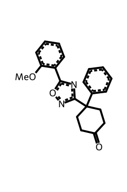 COc1ccccc1-c1nc(C2(c3ccccc3)CCC(=O)CC2)no1